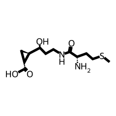 CSCC[C@H](N)C(=O)NCC[C@H](O)[C@@H]1C[C@H]1C(=O)O